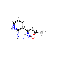 CCCc1cc(-c2cccnc2N)no1